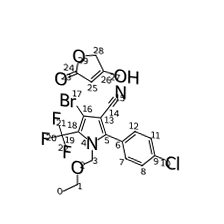 CCOCn1c(-c2ccc(Cl)cc2)c(C#N)c(Br)c1C(F)(F)F.O=C1C=C(O)CO1